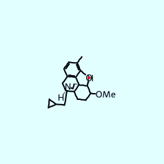 COC1CCC2[C@H]3Cc4ccc(C)c5c4[C@@]2(CCN3CC2CC2)[C@H]1O5